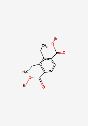 CCc1c(C(=O)OBr)ccc(C(=O)OBr)c1CC